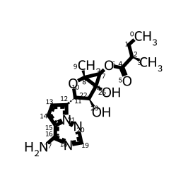 CC[C@@H](C)C(=O)OC1[C@@]2(C)O[C@@H](c3ccc4c(N)ncnn34)[C@H](O)[C@@]12O